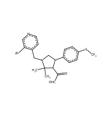 CC(C)c1cnccc1CN1CN(c2ccc(SC(F)(F)F)cc2)C(C(=O)C=O)C1(C)C